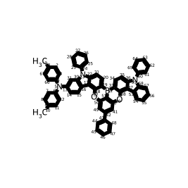 Cc1ccc(N(c2ccc(C)cc2)c2ccc3c4c5c(ccc4n(-c4ccccc4)c3c2)B2c3ccc4c(c3Oc3cc(-c6ccccc6)cc(c32)O5)c2ccccc2n4-c2ccccc2)cc1